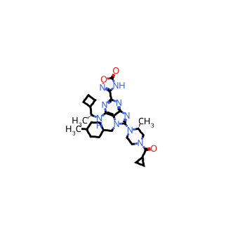 CC1CCC(Cn2c(N3CCN(C(=O)C4CC4)C[C@H]3C)nc3nc(-c4noc(=O)[nH]4)nc(N[C@H](C)C4CCC4)c32)CC1